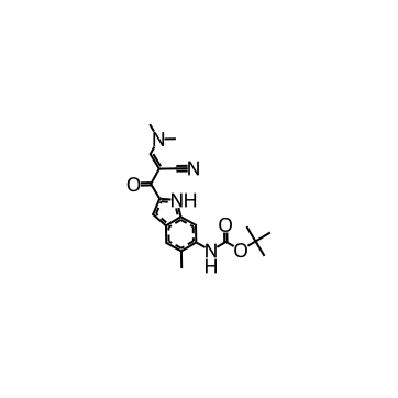 Cc1cc2cc(C(=O)/C(C#N)=C/N(C)C)[nH]c2cc1NC(=O)OC(C)(C)C